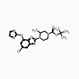 CC1CN(C(=O)OC(C)(C)C)CCN1c1nc2cc(Cl)cc(Oc3nccs3)c2o1